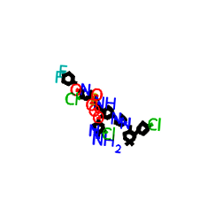 CC1(C)CCC(CN2CCN(c3ccc(C(=O)NS(=O)(=O)c4cnc(OCC5CCC(F)(F)CC5)c(Cl)c4)c(Oc4cnc(N)c(Cl)c4)c3)CC2)=C(c2ccc(Cl)cc2)C1